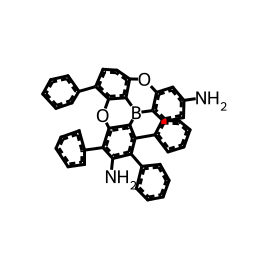 Nc1ccc2c(c1)Oc1ccc(-c3ccccc3)c3c1B2c1c(c(-c2ccccc2)c(N)c(-c2ccccc2)c1-c1ccccc1)O3